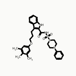 Cc1cc(OCCCc2c(C(=O)NS(=O)(=O)N3CCN(c4ccccc4)CC3)[nH]c3ccccc23)cc(C)c1C